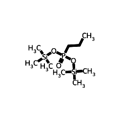 CCCP(=O)(O[Si](C)(C)C)O[Si](C)(C)C